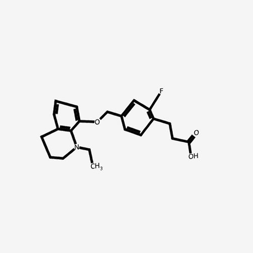 CCN1CCCc2cccc(OCc3ccc(CCC(=O)O)c(F)c3)c21